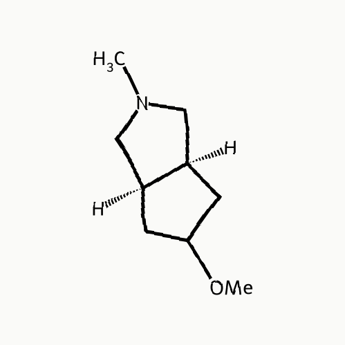 COC1C[C@@H]2CN(C)C[C@@H]2C1